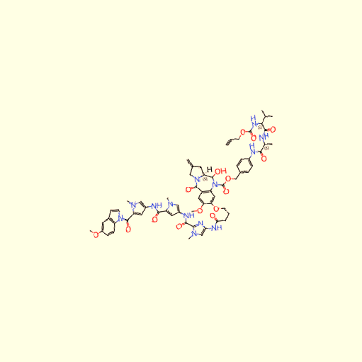 C=CCOC(=O)N[C@H](C(=O)N[C@@H](C)C(=O)Nc1ccc(COC(=O)N2c3cc(OCCCC(=O)Nc4cn(C)c(C(=O)Nc5cc(C(=O)Nc6cc(C(=O)n7ccc8cc(OC)ccc87)n(C)c6)n(C)c5)n4)c(OC)cc3C(=O)N3CC(=C)C[C@H]3C2O)cc1)C(C)C